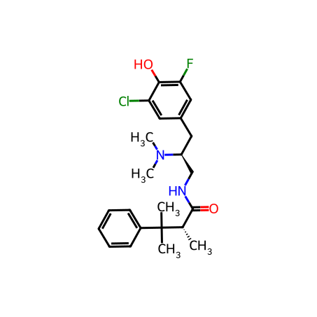 C[C@@H](C(=O)NC[C@H](Cc1cc(F)c(O)c(Cl)c1)N(C)C)C(C)(C)c1ccccc1